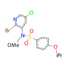 COCN(c1cc(Cl)cnc1Br)S(=O)(=O)c1ccc(OC(C)C)cc1